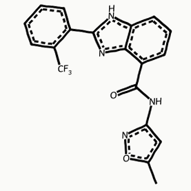 Cc1cc(NC(=O)c2cccc3[nH]c(-c4ccccc4C(F)(F)F)nc23)no1